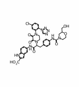 O=C(O)c1cc2cc(NC(=O)C(Cc3ccc(NC(=O)N4CCOC(CO)C4)cc3)N3CCN(c4cc(Cl)ccc4-n4cnnn4)C(=O)C3=O)ccc2[nH]1